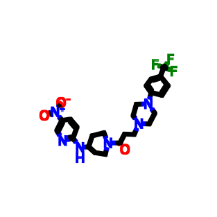 O=C(CCN1CCN(c2ccc(C(F)(F)F)cc2)CC1)N1CCC(Nc2ccc([N+](=O)[O-])cn2)CC1